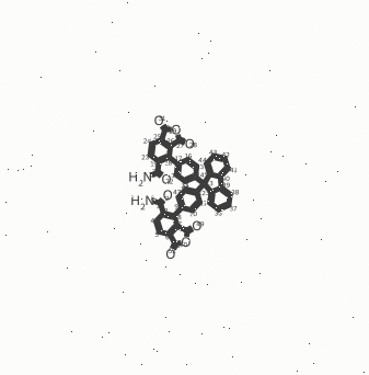 NC(=O)c1ccc2c(c1-c1ccc(C3(c4ccc(-c5c(C(N)=O)ccc6c5C(=O)OC6=O)cc4)c4ccccc4-c4ccccc43)cc1)C(=O)OC2=O